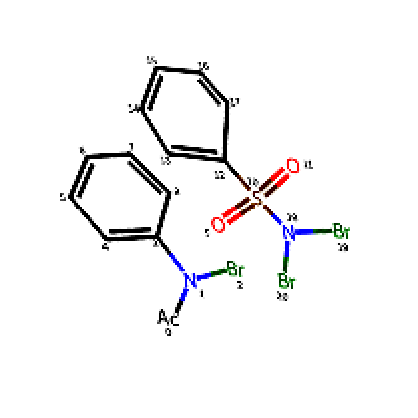 CC(=O)N(Br)c1ccccc1.O=S(=O)(c1ccccc1)N(Br)Br